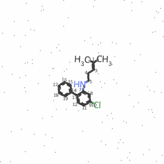 CC(C)=CCCNc1cc(Cl)ccc1-c1ccccc1